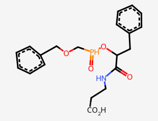 O=C(O)CCNC(=O)C(Cc1ccccc1)O[PH](=O)COCc1ccccc1